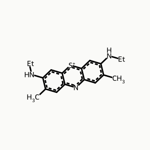 CCNc1cc2[s+]c3cc(NCC)c(C)cc3nc2cc1C